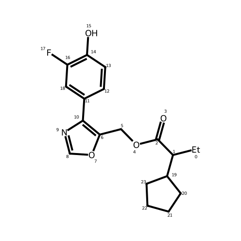 CCC(C(=O)OCc1ocnc1-c1ccc(O)c(F)c1)C1CCCC1